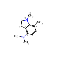 CN(C)c1ccc([N+](=O)[O-])c2c1CCN2C